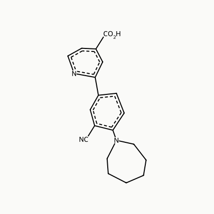 N#Cc1cc(-c2cc(C(=O)O)ccn2)ccc1N1CCCCCC1